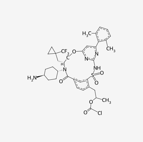 Cc1cccc(C)c1-c1cc2nc(n1)NS(=O)(=O)c1cc(ccc1CC(C)OC(=O)Cl)C(=O)N([C@H]1CC[C@H](N)CC1)[C@H](CC1(C(F)(F)F)CC1)CO2